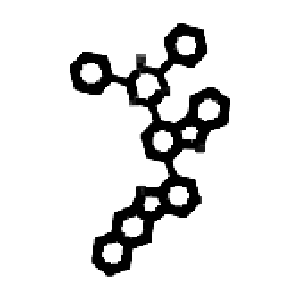 c1ccc(C2=NC(c3ccc(-c4cccc5c4oc4cc6ccccc6cc45)c4oc5ccccc5c34)=NC(c3ccccc3)N2)cc1